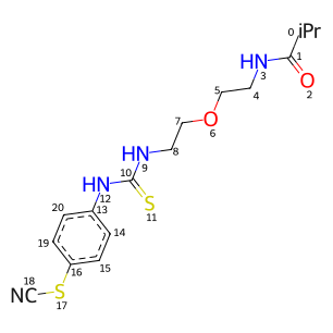 CC(C)C(=O)NCCOCCNC(=S)Nc1ccc(SC#N)cc1